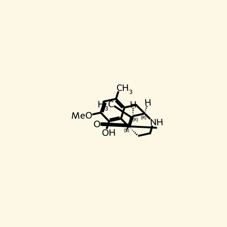 COc1cc(C)c2c(c1O)[C@]13CCN[C@H](C2)[C@@H]1CC(C)C(=O)C3